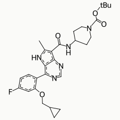 Cc1[nH]c2c(-c3ccc(F)cc3OCC3CC3)ncnc2c1C(=O)NC1CCN(C(=O)OC(C)(C)C)CC1